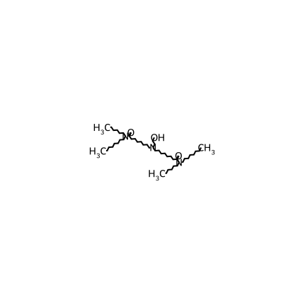 CCCCCCCCN(CCCCCC)C(=O)CCCCCCCN(CCO)CCCCCCCC(=O)N(CCCCCC)CCCCCCCC